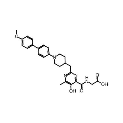 COc1ccc(-c2ccc(N3CCC(Cc4nc(C)c(O)c(C(=O)NCC(=O)O)n4)CC3)cc2)cc1